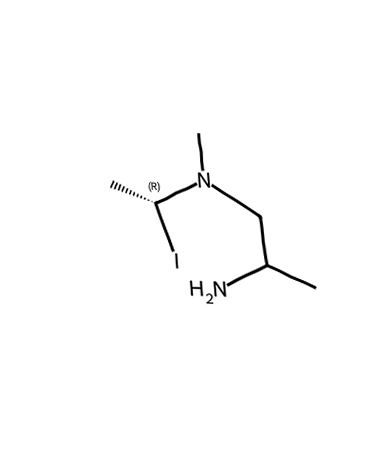 CC(N)CN(C)[C@@H](C)I